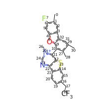 Cc1cc2c(cc1F)oc1c(-c3c4sc5cc(CC(F)(F)F)ccc5c4nc[n+]3C)c(C)c(C)cc12